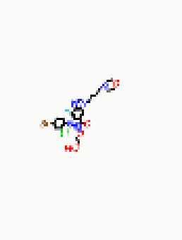 O=C(NOCCO)c1cc2c(ncn2CCCCN2CCOCC2)c(F)c1Nc1ccc(Br)cc1Cl